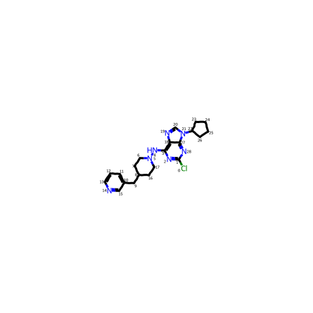 Clc1nc(NN2CCC(Cc3cccnc3)CC2)c2ncn(C3CCCC3)c2n1